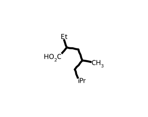 CCC(CC(C)CC(C)C)C(=O)O